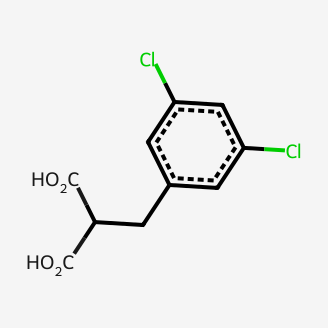 O=C(O)C(Cc1cc(Cl)cc(Cl)c1)C(=O)O